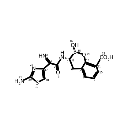 N=C(C(=O)N[C@H]1Cc2cccc(C(=O)O)c2OB1O)c1csc(N)n1